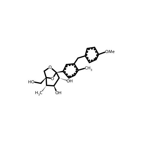 COc1ccc(Cc2cc([C@]34OC[C@](CO)(O3)[C@@H](C)[C@H](O)[C@H]4O)ccc2C)cc1